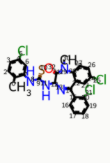 Cc1ccc(Cl)cc1NC(=S)NC1N=C(c2ccccc2Cl)c2cc(Cl)ccc2N(C)C1=O